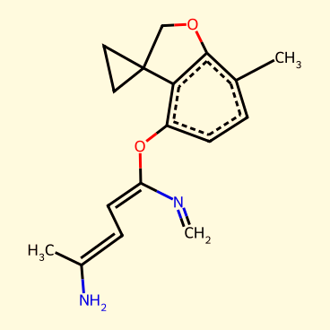 C=N/C(=C\C=C(/C)N)Oc1ccc(C)c2c1C1(CC1)CO2